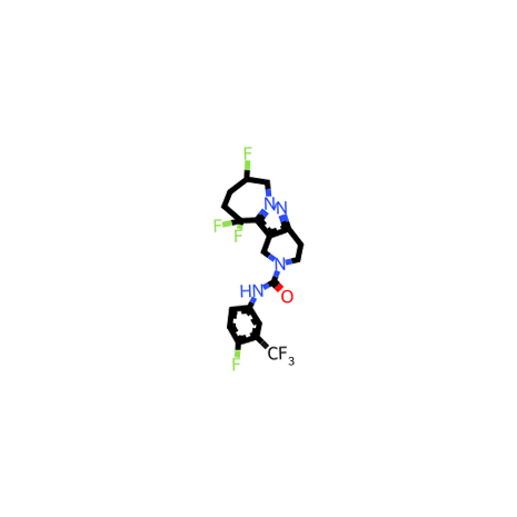 O=C(Nc1ccc(F)c(C(F)(F)F)c1)N1CCc2nn3c(c2C1)C(F)(F)CCC(F)C3